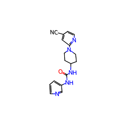 N#Cc1ccnc(N2CCC(NC(=O)Nc3cccnc3)CC2)c1